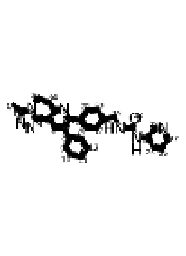 Cc1nnc2c3cc(-c4ccccc4)c(-c4ccc(CNC(=O)Nc5cccnc5)cc4)nc3ccn12